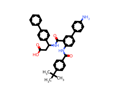 CC(C)(C)c1ccc(C(=O)Nc2ccc(-c3ccc(N)cc3)cc2C(=O)NC(CC(=O)O)c2ccc(-c3ccccc3)cc2)cc1